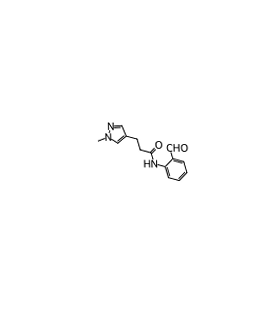 Cn1cc(CCC(=O)Nc2ccccc2C=O)cn1